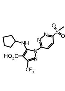 CS(=O)(=O)c1ccc(-n2nc(C(F)(F)F)c(C(=O)O)c2NC2CCCC2)nn1